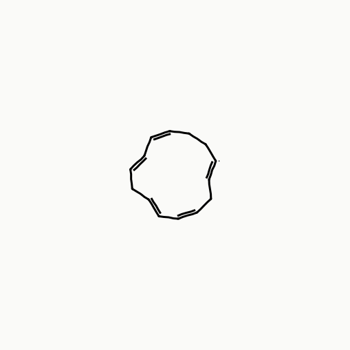 [C]1=C/C/C=C\C=C\C/C=C/C=C\CC/1